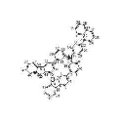 c1cc(-c2ccc3c(c2)oc2ccccc23)cc(N(c2ccc(-c3cccc4ccccc34)cc2)c2cccc(-c3ccc4sc5ccccc5c4c3)c2)c1